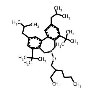 CCCCC(CC)COP1Cc2c(cc(CC(C)C)cc2C(C)(C)C)-c2cc(CC(C)C)cc(C(C)(C)C)c2C1